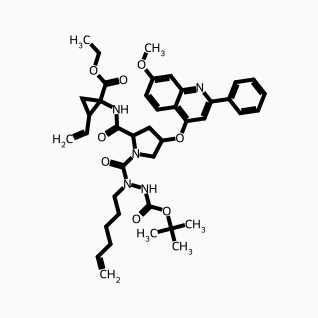 C=CCCCCN(NC(=O)OC(C)(C)C)C(=O)N1CC(Oc2cc(-c3ccccc3)nc3cc(OC)ccc23)CC1C(=O)NC1(C(=O)OCC)CC1C=C